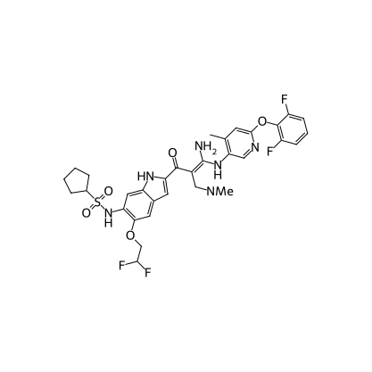 CNC/C(C(=O)c1cc2cc(OCC(F)F)c(NS(=O)(=O)C3CCCC3)cc2[nH]1)=C(/N)Nc1cnc(Oc2c(F)cccc2F)cc1C